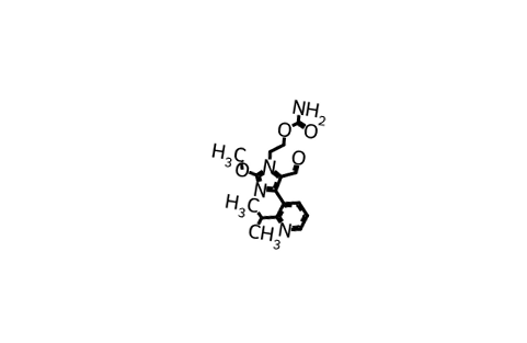 COc1nc(-c2cccnc2C(C)C)c(C=O)n1CCOC(N)=O